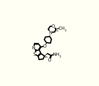 C[C@H]1CN([C@H]2CC[C@H](Oc3ccnc4sc5c(c34)[C@@H](CC(N)=O)CC5)CC2)CCO1